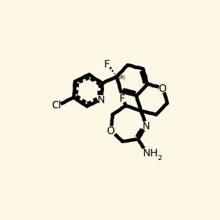 NC1=NC2(CCOC3=CC[C@](F)(c4ccc(Cl)cn4)C=C32)C(F)COC1